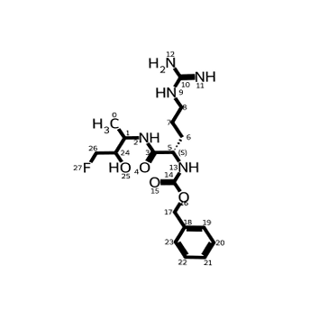 CC(NC(=O)[C@H](CCCNC(=N)N)NC(=O)OCc1ccccc1)C(O)CF